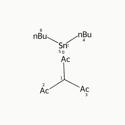 CC(=O)C(C(C)=O)C(C)=O.CCC[CH2][Sn][CH2]CCC